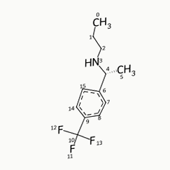 CCCN[C@H](C)c1ccc(C(F)(F)F)cc1